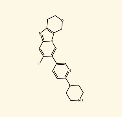 Fc1cc2nc3c(n2cc1-c1ccc(N2CCNCC2)nc1)COCC3